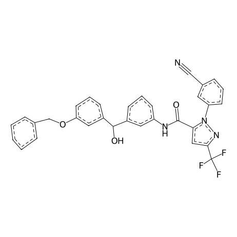 N#Cc1cccc(-n2nc(C(F)(F)F)cc2C(=O)Nc2cccc(C(O)c3cccc(OCc4ccccc4)c3)c2)c1